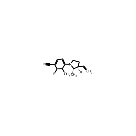 C=C[C@]1(O)CCN(C2=CC=C(C#N)C(F)C2C)[C@H]1C